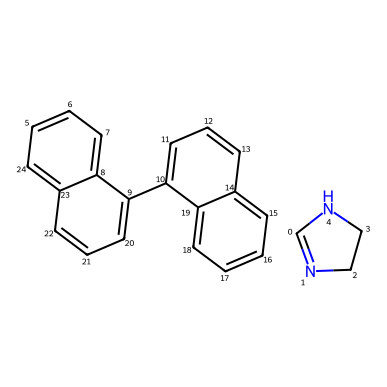 C1=NCCN1.c1ccc2c(-c3cccc4ccccc34)cccc2c1